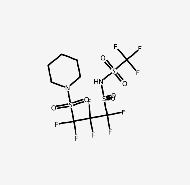 O=S(=O)(NS(=O)(=O)C(F)(F)C(F)(F)C(F)(F)S(=O)(=O)N1CCCCC1)C(F)(F)F